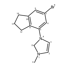 CN1C=CN(c2cc(Br)cc3c2CCC3)C1